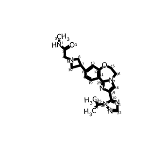 CNC(=O)CN1CC(c2ccc3c(c2)OCCn2cc(-c4ncnn4C(C)C)nc2-3)C1